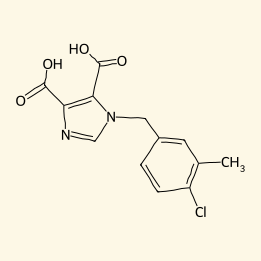 Cc1cc(Cn2cnc(C(=O)O)c2C(=O)O)ccc1Cl